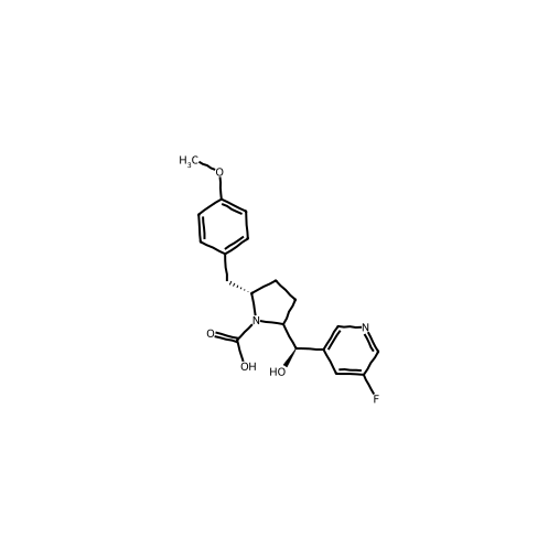 COc1ccc(C[C@@H]2CCC([C@H](O)c3cncc(F)c3)N2C(=O)O)cc1